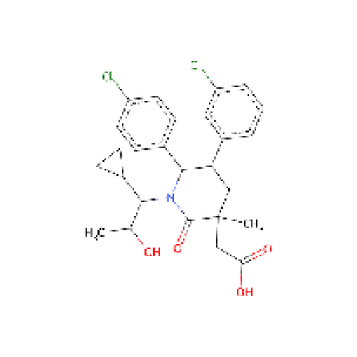 CC(O)C(C1CC1)N1C(=O)C(C)(CC(=O)O)CC(c2cccc(Cl)c2)C1c1ccc(Cl)cc1